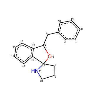 c1ccc(CC2OC3(CCCN3)c3ccccc32)cc1